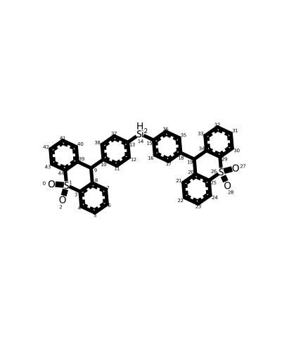 O=S1(=O)c2ccccc2C(c2ccc([SiH2]c3ccc(C4c5ccccc5S(=O)(=O)c5ccccc54)cc3)cc2)c2ccccc21